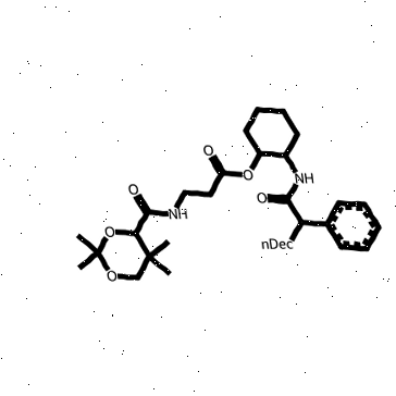 CCCCCCCCCCC(C(=O)NC1CCCCC1OC(=O)CCNC(=O)C1OC(C)(C)OCC1(C)C)c1ccccc1